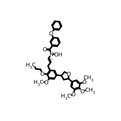 CCCOc1c(C/C=C/N(O)C(=O)c2cccc(Oc3ccccc3)c2)cc(C2COC(c3cc(OC)c(OC)c(OC)c3)C2)cc1OC